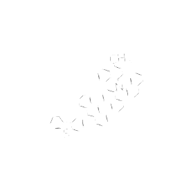 Cc1ccc(N(c2cccc3ccccc23)c2ccc(-c3c4ccccc4c(-c4ccc5sc6ccccc6c5c4)c4ccccc34)c3ccccc23)c2ccccc12